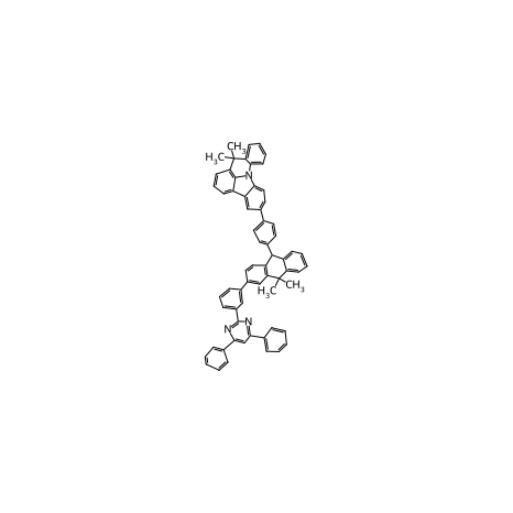 CC1(C)c2ccccc2C(c2ccc(-c3ccc4c(c3)c3cccc5c3n4-c3ccccc3C5(C)C)cc2)c2ccc(-c3cccc(-c4nc(-c5ccccc5)cc(-c5ccccc5)n4)c3)cc21